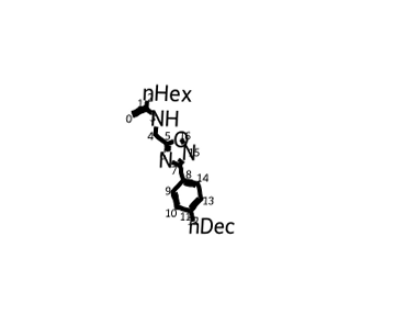 C=C(CCCCCC)NCc1nc(-c2ccc(CCCCCCCCCC)cc2)no1